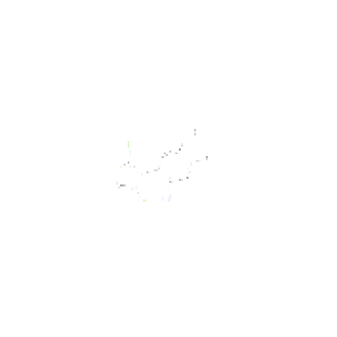 Cc1cc(N)c(-c2c(F)csc2F)cc1C#N